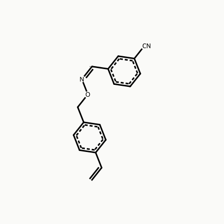 C=Cc1ccc(CO/N=[C]\c2cccc(C#N)c2)cc1